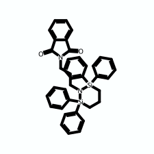 O=C1c2ccccc2C(=O)N1CCCN1[Si](c2ccccc2)(c2ccccc2)CCC[Si]1(c1ccccc1)c1ccccc1